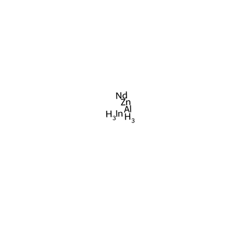 [AlH3].[InH3].[Nd].[Zn]